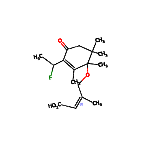 CC1=C(C(C)F)C(=O)CC(C)(C)C1(C)OC/C(C)=C\C(=O)O